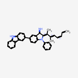 C=C\C=C/C=C(C)/C(C)=C1/C(=N)c2cc(-c3ccc4[nH]c5ccccc5c4c3)ccc2N1c1ccccc1